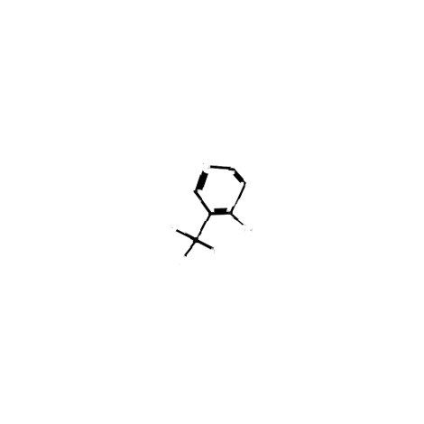 FC(F)(F)c1cnccc1Br